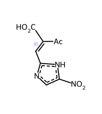 CC(=O)/C(=C\c1ncc([N+](=O)[O-])[nH]1)C(=O)O